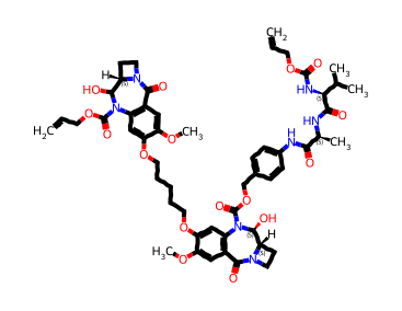 C=CCOC(=O)N[C@H](C(=O)N[C@@H](C)C(=O)Nc1ccc(COC(=O)N2c3cc(OCCCCCOc4cc5c(cc4OC)C(=O)N4CC[C@H]4C(O)N5C(=O)OCC=C)c(OC)cc3C(=O)N3CC[C@H]3[C@@H]2O)cc1)C(C)C